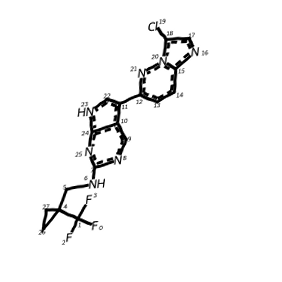 FC(F)(F)C1(CNc2ncc3c(-c4ccc5ncc(Cl)n5n4)c[nH]c3n2)CC1